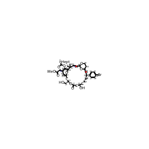 CCCCCCCC(=O)O[C@H]1/C(=C/C(=O)OC)C[C@H]2C[C@H](CO)OC(=O)C[C@H](O)CCO[C@H](c3ccc(Br)cc3)C[C@@H]3CCO[C@H](/C=C/C(C)(C)[C@]1(O)O2)O3